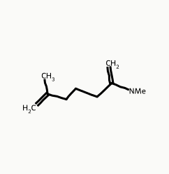 C=C(C)CCCC(=C)NC